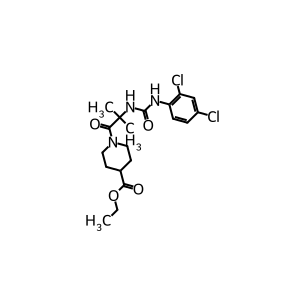 CCOC(=O)C1CCN(C(=O)C(C)(C)NC(=O)Nc2ccc(Cl)cc2Cl)CC1